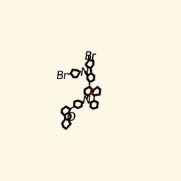 Brc1ccc(-n2c3cc(Br)ccc3c3ccc(-c4ccc(N(c5ccc(-c6cccc7c6oc6ccccc67)cc5)c5ccccc5-c5ccccc5)cc4)cc32)cc1